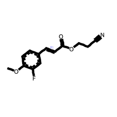 COc1ccc(/C=C/C(=O)OCCC#N)cc1F